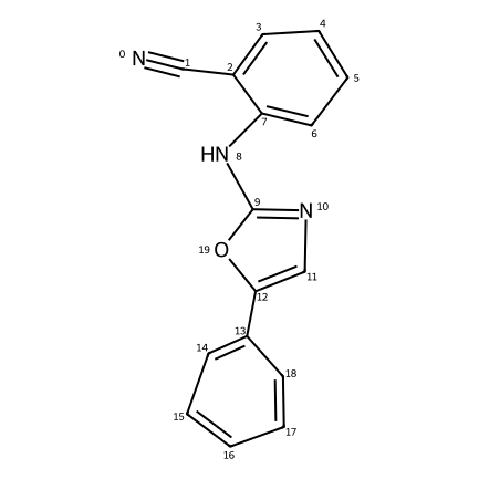 N#Cc1ccccc1Nc1ncc(-c2ccccc2)o1